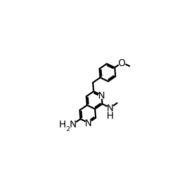 CNc1nc(Cc2ccc(OC)cc2)cc2cc(N)ncc12